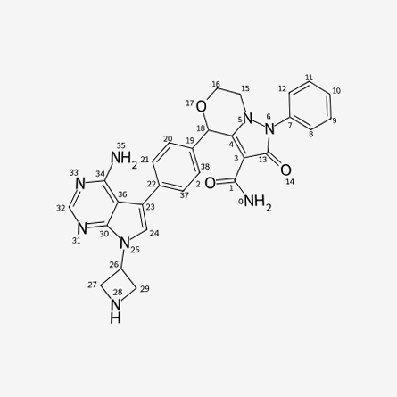 NC(=O)c1c2n(n(-c3ccccc3)c1=O)CCOC2c1ccc(-c2cn(C3CNC3)c3ncnc(N)c23)cc1